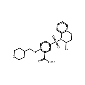 CCC1CCc2ccccc2N1S(=O)(=O)c1ccc(OCC2CCOCC2)c(C(=O)OC)c1